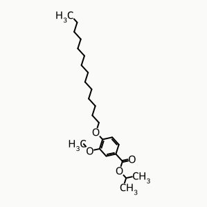 CCCCCCCCCCCCCCOc1ccc(C(=O)OC(C)C)cc1OC